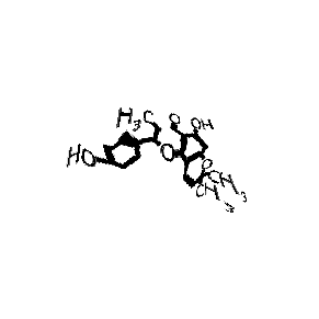 CCC(Oc1c(C=O)c(O)cc2c1C=CC(C)(C)O2)c1ccc(O)cc1